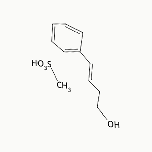 CS(=O)(=O)O.OCCC=Cc1ccccc1